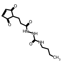 CCCCNC(=O)NNC(=O)CCC1C(=O)C=CC1=O